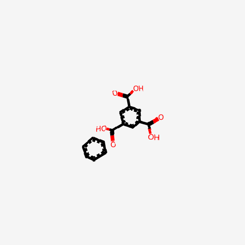 O=C(O)c1cc(C(=O)O)cc(C(=O)O)c1.c1ccccc1